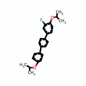 CC(C)Oc1ccc(-c2ccc(-c3ccc(OC(C)C)c(F)c3)cc2)cc1